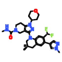 CNC(=O)N1CCc2c(c(N3C[C@H](C)Cc4cc(-c5cnn(C)c5)c(C(F)F)cc43)nn2C2CCOCC2)C1